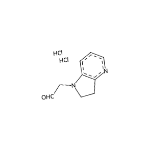 Cl.Cl.O=CCN1CCc2ncccc21